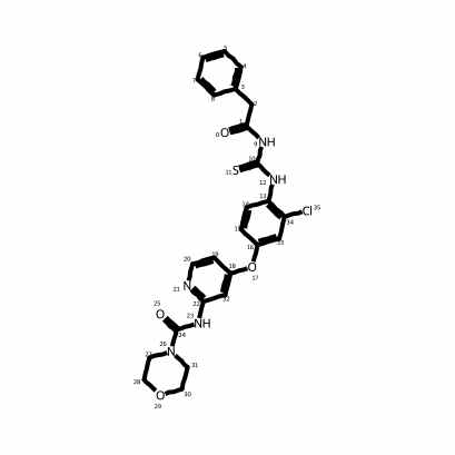 O=C(Cc1ccccc1)NC(=S)Nc1ccc(Oc2ccnc(NC(=O)N3CCOCC3)c2)cc1Cl